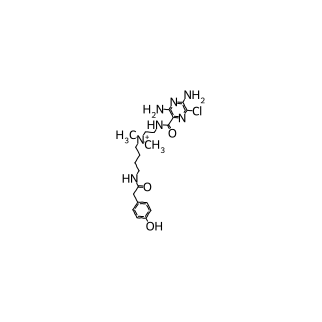 C[N+](C)(CCCCNC(=O)Cc1ccc(O)cc1)CCNC(=O)c1nc(Cl)c(N)nc1N